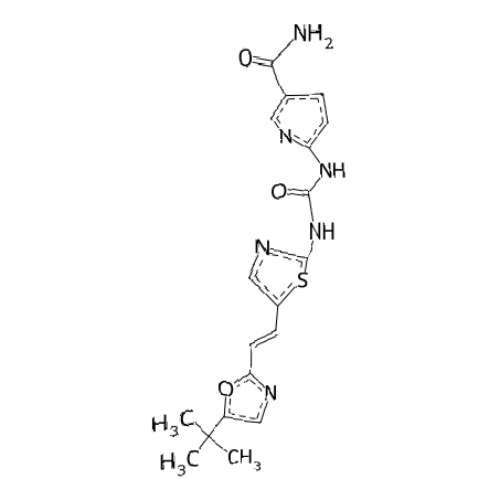 CC(C)(C)c1cnc(/C=C/c2cnc(NC(=O)Nc3ccc(C(N)=O)cn3)s2)o1